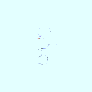 C[C@@]1(c2ccccc2F)C[S@]2(=O)=NCCCCN2C(N)=N1